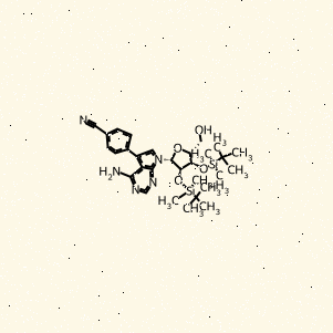 CC(C)(C)[Si](C)(C)O[C@@H]1[C@H](O[Si](C)(C)C(C)(C)C)[C@@H](CO)O[C@H]1n1cc(-c2ccc(C#N)cc2)c2c(N)ncnc21